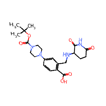 CC(C)(C)OC(=O)N1CCN(c2ccc(C(=O)O)c(CNC3CCC(=O)NC3=O)c2)CC1